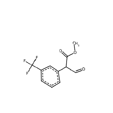 COC(=O)C(C=O)c1cccc(C(F)(F)F)c1